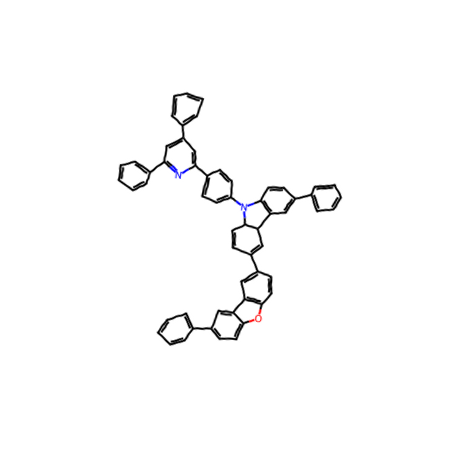 C1=CC2C(C=C1c1ccc3oc4ccc(-c5ccccc5)cc4c3c1)c1cc(-c3ccccc3)ccc1N2c1ccc(-c2cc(-c3ccccc3)cc(-c3ccccc3)n2)cc1